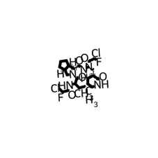 CCC(C)C(NC(=O)C(F)Cl)C(=O)N1C[C@@H]2CCC[C@@H]2[C@H]1C(=O)NN(C[C@H]1CCCNC1=O)C(=O)C(F)Cl